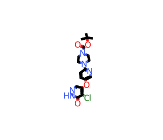 CC(C)(C)OC(=O)N1CCN(c2ccc(Oc3cn[nH]c(=O)c3Cl)cn2)CC1